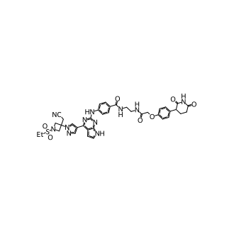 CCS(=O)(=O)N1CC(CC#N)(n2cc(-c3nc(Nc4ccc(C(=O)NCCNC(=O)COc5ccc(C6CCC(=O)NC6=O)cc5)cc4)nc4[nH]ccc34)cn2)C1